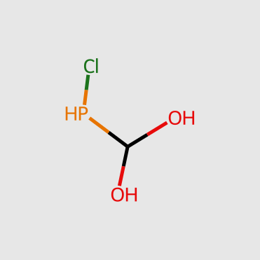 OC(O)PCl